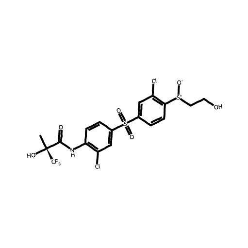 C[C@@](O)(C(=O)Nc1ccc(S(=O)(=O)c2ccc([S+]([O-])CCO)c(Cl)c2)cc1Cl)C(F)(F)F